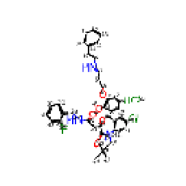 COc1c(OCCCNCCc2ccccc2)cccc1[C@H]1O[C@H](CC(=O)NCc2ccccc2F)C(=O)N(CC(C)(C)C)c2ccc(Cl)cc21.Cl